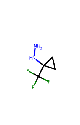 NNC1(C(F)(F)F)CC1